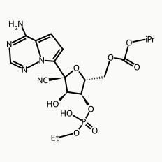 CCOP(=O)(O)O[C@H]1[C@@H](O)[C@](C#N)(c2ccc3c(N)ncnn23)O[C@@H]1COC(=O)OC(C)C